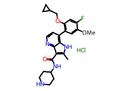 COc1cc(-c2ccnc3c(C(=O)NC4CCNCC4)c(C)[nH]c23)c(OCC2CC2)cc1F.Cl